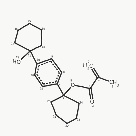 C=C(C)C(=O)OC1(c2ccc(C3(O)CCCCC3)cc2)CCCCC1